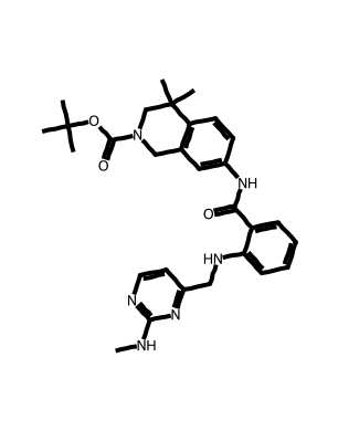 CNc1nccc(CNc2ccccc2C(=O)Nc2ccc3c(c2)CN(C(=O)OC(C)(C)C)CC3(C)C)n1